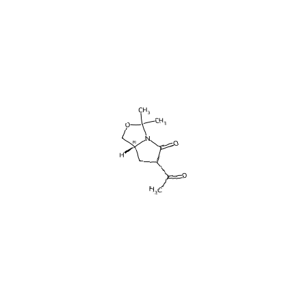 CC(=O)C1C[C@@H]2COC(C)(C)N2C1=O